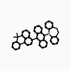 CC1(C)c2ccccc2-c2ccc(-c3c4ccccc4c(N4c5ccccc5CCc5ccccc54)c4ccccc34)c3cccc1c23